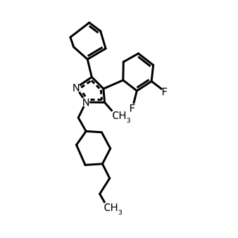 CCCC1CCC(Cn2nc(C3=CC=CCC3)c(C3CC=CC(F)=C3F)c2C)CC1